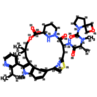 CCn1c(-c2cccnc2[C@H](C)OC)c2c3cc(ccc31)-c1csc(n1)C[C@H](NC(=O)[C@H](C(C)C)N(C)C(=O)N1CCCC13COC3)C(=O)N1CCC[C@@](O)(N1)C(=O)OCC(C)(C)C2